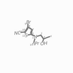 CCCN(CC(C)O)c1cc(Br)c(C#N)s1